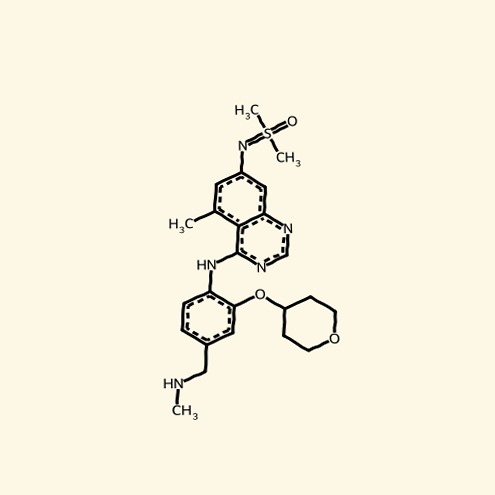 CNCc1ccc(Nc2ncnc3cc(N=S(C)(C)=O)cc(C)c23)c(OC2CCOCC2)c1